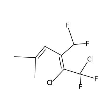 CC(C)=CC(=C(Cl)C(F)(F)Cl)C(F)F